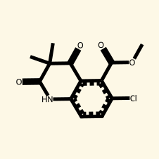 COC(=O)c1c(Cl)ccc2c1C(=O)C(C)(C)C(=O)N2